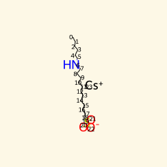 CCCCCCNCCCCCCCCCCCCS(=O)(=O)[O-].[Cs+]